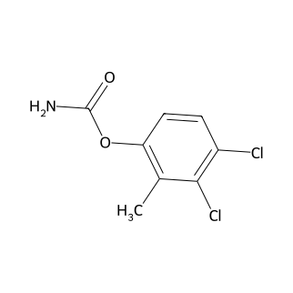 Cc1c(OC(N)=O)ccc(Cl)c1Cl